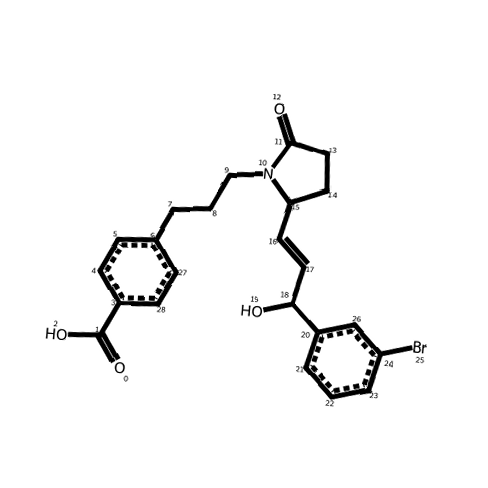 O=C(O)c1ccc(CCCN2C(=O)CCC2/C=C/C(O)c2cccc(Br)c2)cc1